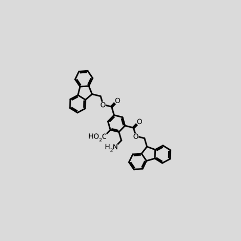 NCc1c(C(=O)O)cc(C(=O)OCC2c3ccccc3-c3ccccc32)cc1C(=O)OCC1c2ccccc2-c2ccccc21